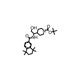 CC(C)(C)OC(=O)N1CCC(C(CO)NC(=O)c2ccc3c(c2)C(C)(C)CCC3(C)C)CC1